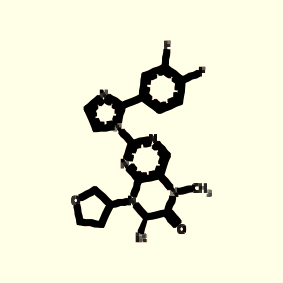 CC[C@@H]1C(=O)N(C)c2cnc(-n3ccnc3-c3ccc(F)c(F)c3)nc2N1C1CCOC1